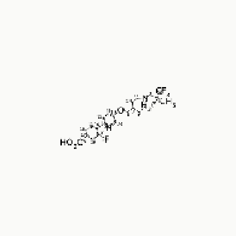 CC(C)(CN1CCC(COc2ccc(-c3ccc(C(=O)O)cc3F)nc2)CC1)C(F)(F)F